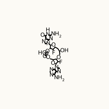 Nc1nc2c(ncn2C2OC3CC(O)COC4C(COP(=O)(O)OC2C3F)OC(n2cnc3c(N)ncnc32)C4F)c(=O)[nH]1